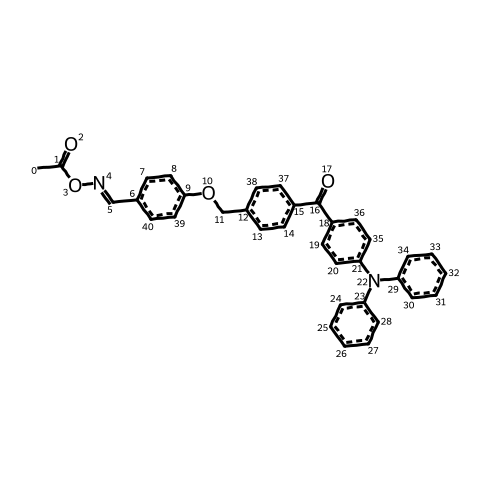 CC(=O)O/N=C/c1ccc(OCc2ccc(C(=O)c3ccc(N(c4ccccc4)c4ccccc4)cc3)cc2)cc1